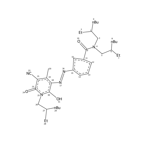 CCCCC(CC)CN(CC(CC)CCCC)C(=O)c1cccc(/N=N/c2c(C)c(C#N)c(=O)n(CC(CC)CCCC)c2O)c1